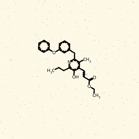 CCCc1nc(Cc2cccc(Oc3ccccc3)c2)c(C)c(/C=C/C(=O)OCC)c1O